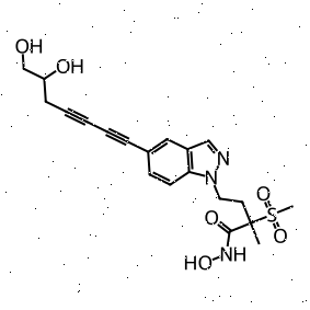 CC(CCn1ncc2cc(C#CC#CCC(O)CO)ccc21)(C(=O)NO)S(C)(=O)=O